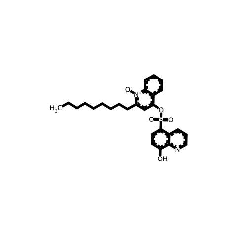 CCCCCCCCCc1cc(OS(=O)(=O)c2ccc(O)c3ncccc23)c2ccccc2[n+]1[O-]